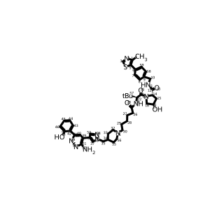 Cc1ncsc1-c1ccc(CNC(=O)[C@@H]2C[C@@H](O)CN2C(=O)[C@@H](NC(=O)CCCCCN2CCC(Cn3cc(-c4cc(-c5ccccc5O)nnc4N)cn3)CC2)C(C)(C)C)cc1